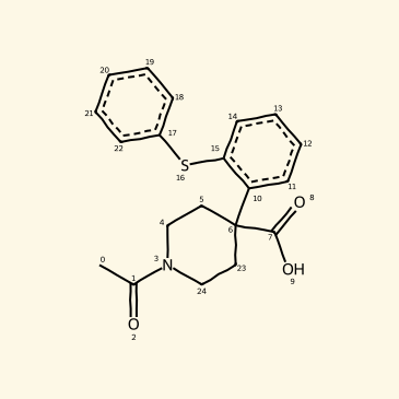 CC(=O)N1CCC(C(=O)O)(c2ccccc2Sc2ccccc2)CC1